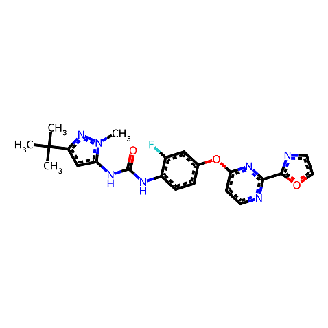 Cn1nc(C(C)(C)C)cc1NC(=O)Nc1ccc(Oc2ccnc(-c3ncco3)n2)cc1F